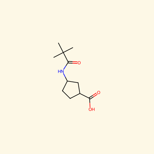 CC(C)(C)C(=O)NC1CCC(C(=O)O)C1